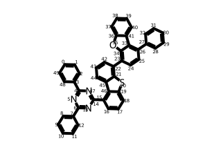 c1ccc(-c2nc(-c3ccccc3)nc(-c3cccc4sc5c(-c6ccc(-c7ccccc7)c7c6oc6ccccc67)cccc5c34)n2)cc1